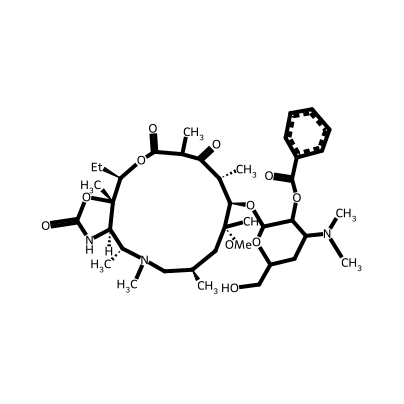 CC[C@H]1OC(=O)C(C)C(=O)[C@H](C)[C@@H](OC2OC(CO)CC(N(C)C)C2OC(=O)c2ccccc2)[C@](C)(OC)C[C@@H](C)CN(C)[C@H](C)[C@H]2NC(=O)O[C@@]21C